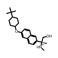 CN[C@@](C)(CO)c1ccc2cc(OC3CCC(C(C)(C)C)CC3)ccc2c1